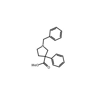 COC(=O)C1(c2ccccc2)CCN(Cc2ccccc2)C1